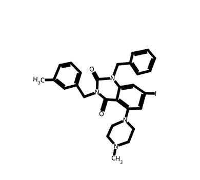 Cc1cccc(Cn2c(=O)c3c(N4CCN(C)CC4)cc(I)cc3n(Cc3ccccc3)c2=O)c1